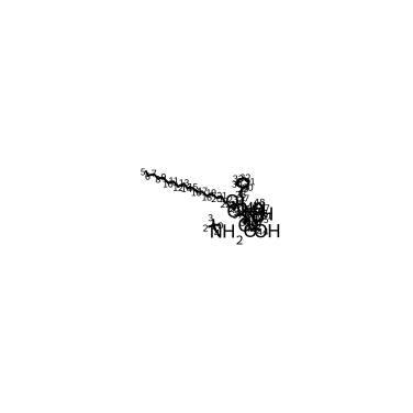 CC(C)(C)N.CCCCCCCCCCCCCCCCCCOC(=O)C(CCc1ccccc1)NC(C)C(=O)N1[C@H](C(=O)O)C[C@@H]2CCC[C@@H]21